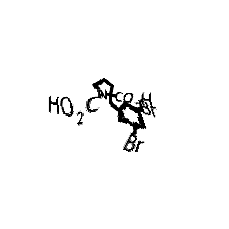 O=C(O)N1CCCC1(Cc1cc(Br)cc(Br)c1)C(=O)O